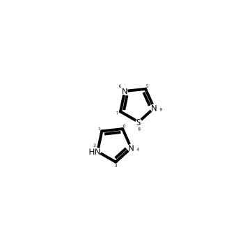 c1c[nH]cn1.c1ncsn1